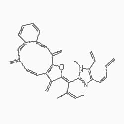 C=C/C=C\c1nc(C(/C(C)=C\C)=c2\oc3c(=C)cc4ccccc4cc(=C)ccc3c2=C)n(C)c1C=C